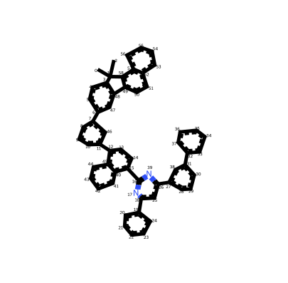 CC1(C)c2ccc(-c3cccc(-c4ccc(-c5nc(-c6ccccc6)cc(-c6cccc(-c7ccccc7)c6)n5)c5ccccc45)c3)cc2-c2ccc3ccccc3c21